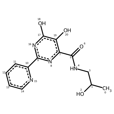 CC(O)CNC(=O)c1nc(-c2ccccn2)nc(O)c1O